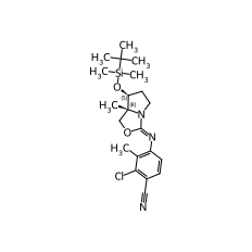 Cc1c(N=C2OC[C@]3(C)[C@@H](O[Si](C)(C)C(C)(C)C)CCN23)ccc(C#N)c1Cl